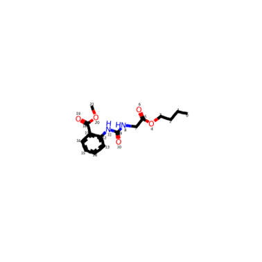 CCCCOC(=O)CNC(=O)Nc1ccccc1C(=O)OC